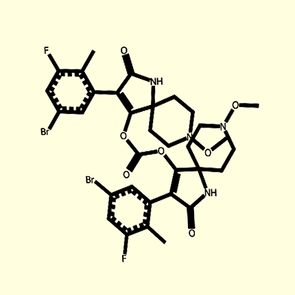 CON1CCC2(CC1)NC(=O)C(c1cc(Br)cc(F)c1C)=C2OC(=O)OC1=C(c2cc(Br)cc(F)c2C)C(=O)NC12CCN(OC)CC2